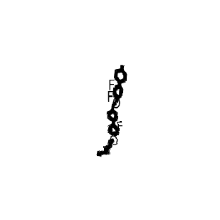 CCCCCCOc1ccc(-c2ccc(COc3ccc(C4CCC(C)CC4)c(F)c3F)cc2)c(F)c1